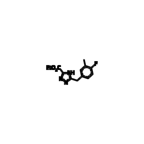 CCOC(=O)c1nnc(Cc2ccc(F)c(C)c2)[nH]1